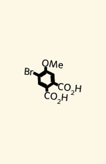 COc1cc(C(=O)O)c(C(=O)O)cc1Br